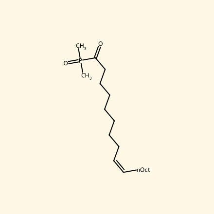 CCCCCCCC/C=C\CCCCCCCC(=O)P(C)(C)=O